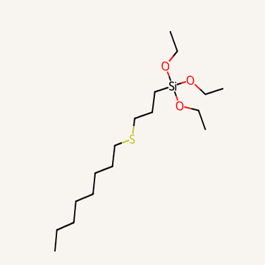 CCCCCCCCSCCC[Si](OCC)(OCC)OCC